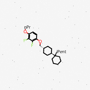 CCCOc1ccc(OC[C@H]2CC[C@H](C3(C(C)CCC)CCCCC3)CC2)c(F)c1F